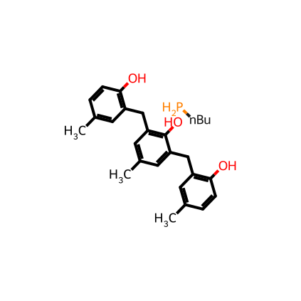 CCCCP.Cc1ccc(O)c(Cc2cc(C)cc(Cc3cc(C)ccc3O)c2O)c1